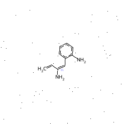 C=C/C(N)=C\c1ccccc1N